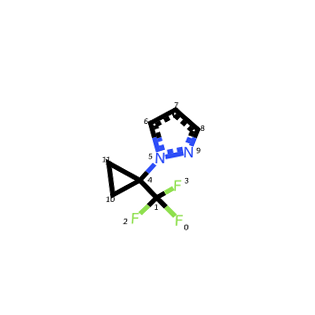 FC(F)(F)C1(n2cccn2)CC1